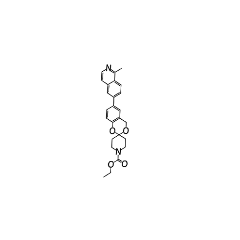 CCOC(=O)N1CCC2(CC1)OCc1cc(-c3ccc4c(C)nccc4c3)ccc1O2